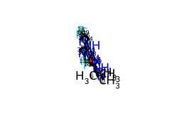 CN(C)CC(C)(C)CNc1cc(C(F)(F)F)c(-c2cnc3c(Nc4ccc(C(F)(F)F)cn4)ccnc3n2)nn1